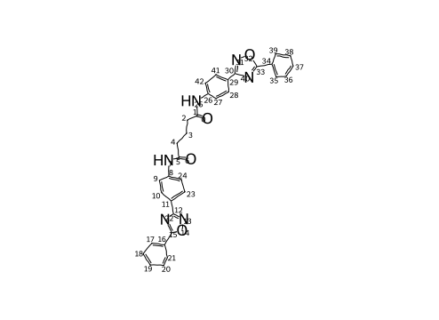 O=C(CCCC(=O)Nc1ccc(-c2noc(-c3ccccc3)n2)cc1)Nc1ccc(-c2noc(-c3ccccc3)n2)cc1